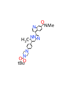 CNC(=O)c1ccc2c(-c3cnc4cc(-c5ccc(N6CCN(C(=O)OC(C)(C)C)CC6)cc5)c(C)nn34)ccnc2c1